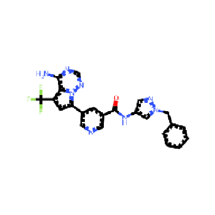 Nc1ncnn2c(-c3cncc(C(=O)Nc4cnn(Cc5ccccc5)c4)c3)cc(C(F)(F)F)c12